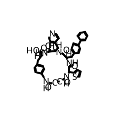 O=C1CCC(=O)NC(c2cccs2)C(=O)N[C@@H](Cc2ccc(-c3ccccc3)cc2)C(=O)N[C@@H](Cc2ccncc2)C(=O)N[C@H](C(=O)O)Cc2ccc(cc2)N1